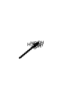 CCCCCCCCCCCCCCCCCCC(=O)C(N)C(O)C(O)C(O)CO